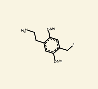 COc1cc(CCN)c(OC)cc1CF